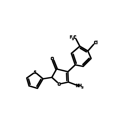 NC1=C(c2ccc(Cl)c(C(F)(F)F)c2)C(=O)C(c2cccs2)O1